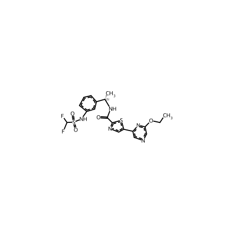 CCOc1cncc(-c2cnc(C(=O)N[C@@H](C)c3cccc(NS(=O)(=O)C(F)F)c3)s2)n1